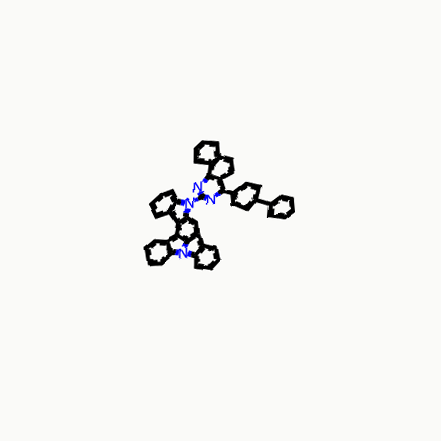 c1ccc(-c2ccc(-c3nc(-n4c5ccccc5c5c6c7ccccc7n7c8ccccc8c(cc54)c67)nc4c3ccc3ccccc34)cc2)cc1